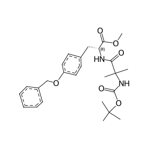 COC(=O)[C@@H](Cc1ccc(OCc2ccccc2)cc1)NC(=O)C(C)(C)NC(=O)OC(C)(C)C